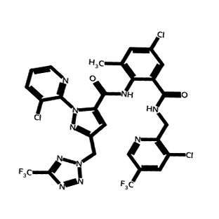 Cc1cc(Cl)cc(C(=O)NCc2ncc(C(F)(F)F)cc2Cl)c1NC(=O)c1cc(Cn2nnc(C(F)(F)F)n2)nn1-c1ncccc1Cl